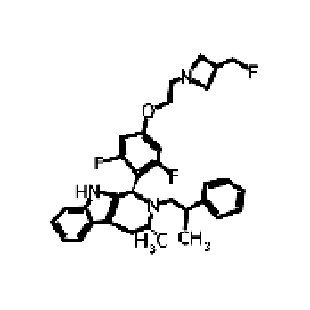 CC(CN1[C@H](c2c(F)cc(OCCN3CC(CF)C3)cc2F)c2[nH]c3ccccc3c2C[C@H]1C)c1ccccc1